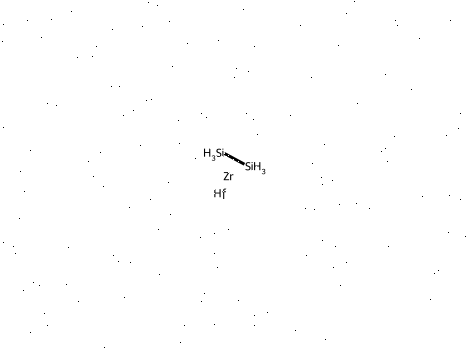 [Hf].[SiH3][SiH3].[Zr]